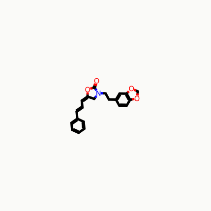 O=C1O/C(=C/C=C/c2ccccc2)CN1CCc1ccc2c(c1)OCO2